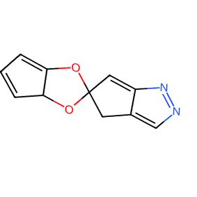 C1=CC2OC3(C=C4N=NC=C4C3)OC2=C1